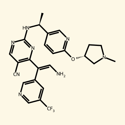 C[C@H](Nc1ncc(C#N)c(/C(=C/N)c2cncc(C(F)(F)F)c2)n1)c1ccc(O[C@@H]2CCN(C)C2)nc1